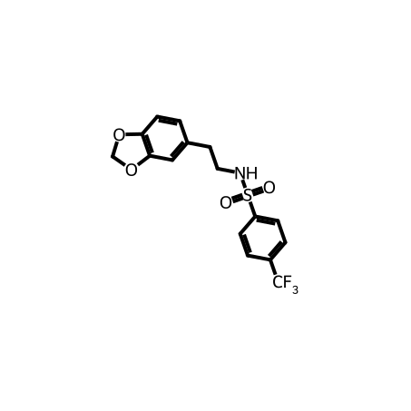 O=S(=O)(NCCc1ccc2c(c1)OCO2)c1ccc(C(F)(F)F)cc1